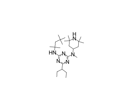 CCC(CC)c1nc(NC(C)(C)CC(C)(C)C)nc(N(C)C2CC(C)(C)NC(C)(C)C2)n1